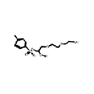 CCOC(COCCOCCO)OS(=O)(=O)c1ccc(C)cc1